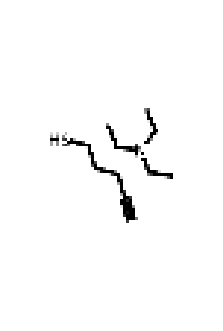 C#CCCCS.CCN(CC)CC